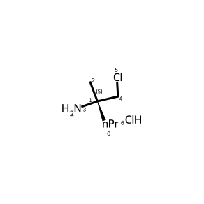 CCC[C@](C)(N)CCl.Cl